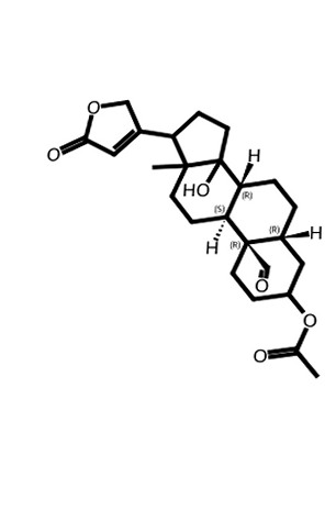 CC(=O)OC1CC[C@@]2(C=O)[C@H](CC[C@@H]3[C@@H]2CCC2(C)C(C4=CC(=O)OC4)CCC32O)C1